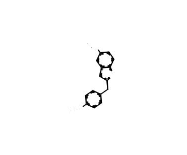 N#Cc1ccc2oc(Cc3ccc(O)cc3)cc2c1